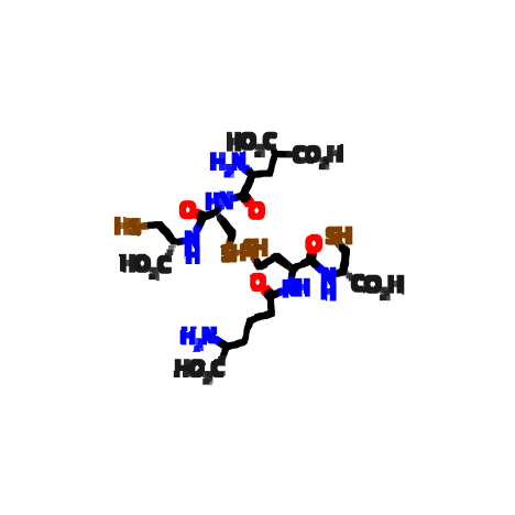 NC(CCCC(=O)N[C@@H](CCS)C(=O)N[C@H](CS)C(=O)O)C(=O)O.N[C@@H](CC(C(=O)O)C(=O)O)C(=O)N[C@@H](CS)C(=O)N[C@@H](CS)C(=O)O